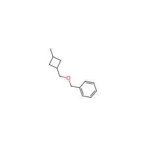 [CH2]C1CC(COCc2ccccc2)C1